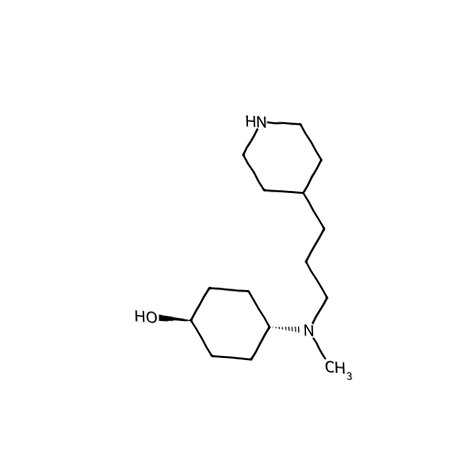 CN(CCCC1CCNCC1)[C@H]1CC[C@H](O)CC1